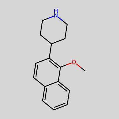 COc1c(C2CCNCC2)ccc2ccccc12